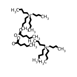 CCCCC(=O)[O-].CCCCC(=O)[O-].CCCC[N+](CCCC)(CCCC)CCCC.CCCC[N+](CCCC)(CCCC)CCCC